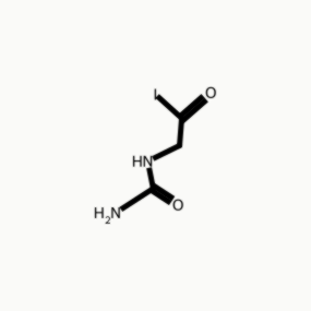 NC(=O)NCC(=O)I